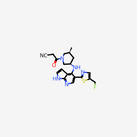 C[C@H]1C[C@@H](Nc2c(-c3ncc(CF)s3)cnc3[nH]ccc23)CN(C(=O)CC#N)C1